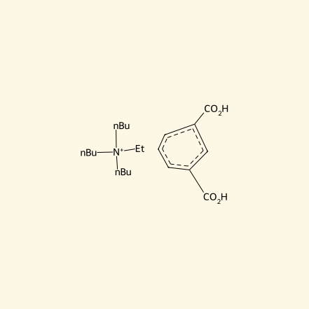 CCCC[N+](CC)(CCCC)CCCC.O=C(O)c1cccc(C(=O)O)c1